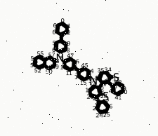 c1ccc(-c2ccc(N(c3ccc(-c4ccc(-n5c6ccc7c8ccccc8sc7c6c6c7c(ccc65)sc5ccccc57)cc4)cc3)c3ccc4ccccc4c3)cc2)cc1